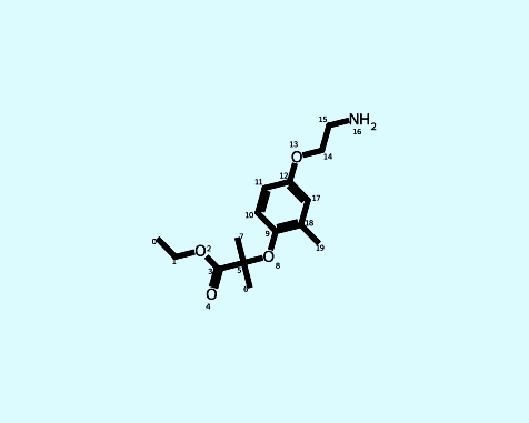 CCOC(=O)C(C)(C)Oc1ccc(OCCN)cc1C